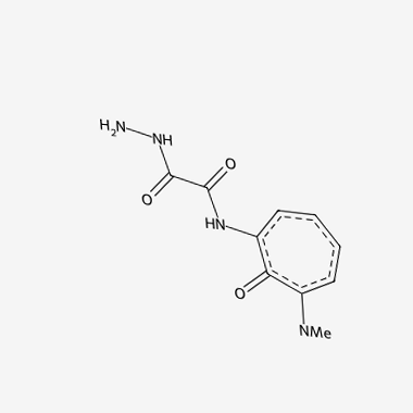 CNc1ccccc(NC(=O)C(=O)NN)c1=O